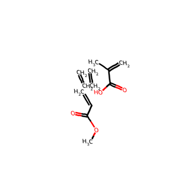 C=C.C=C.C=C(C)C(=O)O.C=CC(=O)OC